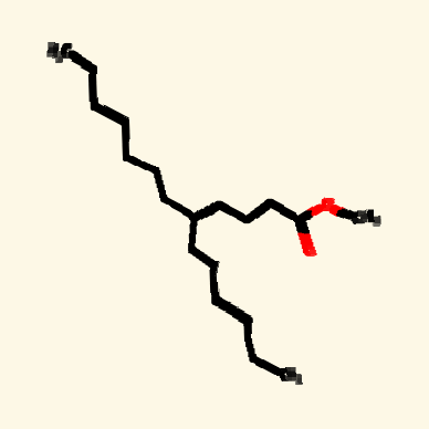 CCCCCCCC(CCCCCC)CCCC(=O)OC